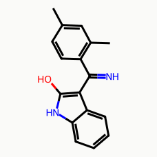 Cc1ccc(C(=N)c2c(O)[nH]c3ccccc23)c(C)c1